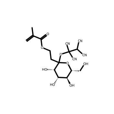 C=C(C)C(=O)OCCC1(OC(C#N)(C#N)C(C#N)C#N)O[C@H](CO)[C@@H](O)[C@H](O)[C@@H]1O